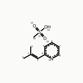 CC(C)=Cc1ccccn1.CS(=O)(=O)O